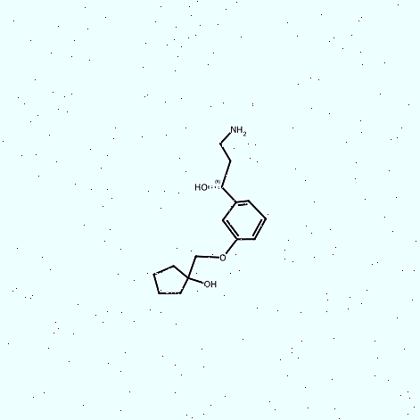 NCC[C@@H](O)c1cccc(OCC2(O)CCCC2)c1